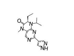 CC[C@@H]1C(=O)N(C)c2cnc(-c3cn[nH]c3)nc2N1C(C)C